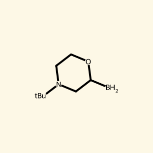 BC1CN(C(C)(C)C)CCO1